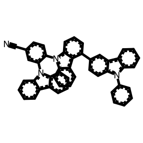 N#Cc1ccc(-n2c3ccccc3c3c(-c4ccc5c(c4)c4ccccc4n5-c4ccccc4)cccc32)c(-n2c3ccccc3c3ccccc32)c1